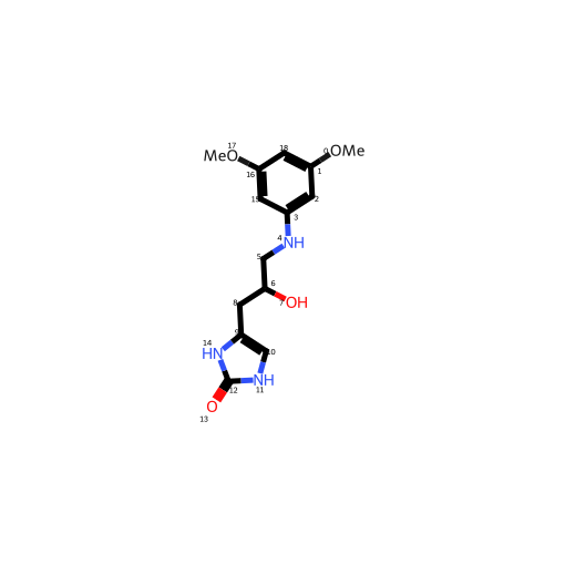 COc1cc(NCC(O)Cc2c[nH]c(=O)[nH]2)cc(OC)c1